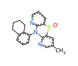 Cc1cnc2c(c1)[S+]([O-])c1cccnc1N2c1cccc2c1CCCC2